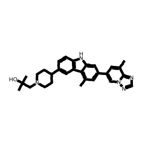 Cc1cc(-c2cc(C)c3ncnn3c2)cc2[nH]c3ccc(C4CCN(CC(C)(C)O)CC4)cc3c12